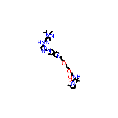 Cc1nc2cnc(Nc3ccnc(N4CCC5(CCN(CCCOCCCOCC(=O)NC(C(=O)N6CCCC6C)C(C)(C)C)CC5)CC4)n3)cc2n1C(C)C